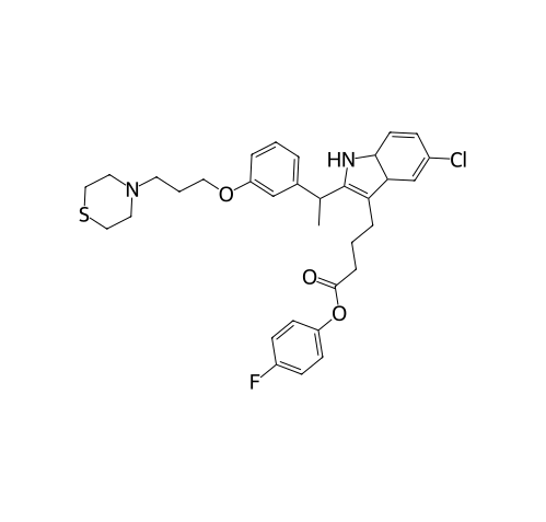 CC(C1=C(CCCC(=O)Oc2ccc(F)cc2)C2C=C(Cl)C=CC2N1)c1cccc(OCCCN2CCSCC2)c1